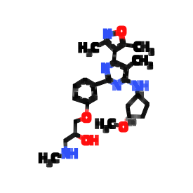 CNCC(O)COc1cccc(-c2nc(N[C@H]3CC[C@H](OC)C3)c(C)c(-c3c(C)noc3C)n2)c1